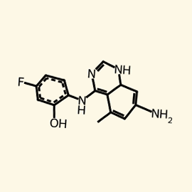 CC1=CC(N)=CC2NC=NC(Nc3ccc(F)cc3O)=C12